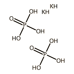 O=P(O)(O)O.O=P(O)(O)O.[KH].[KH]